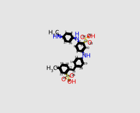 CNc1ccc(Nc2ccc(Nc3ccc(Cc4ccc(C)cc4S(=O)(=O)O)cc3)cc2S(=O)(=O)O)cc1